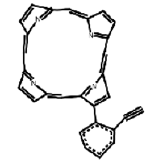 C#Cc1ccccc1C1=CC2=CC3=NC(=CC4=NC(=CC5=NC(=CC1=N2)C=C5)C=C4)C=C3